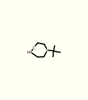 CC(C)(I)N1CCCNCC1